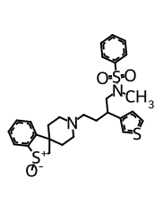 CN(CC(CCN1CCC2(CC1)C[S+]([O-])c1ccccc12)c1ccsc1)S(=O)(=O)c1ccccc1